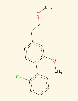 COCCc1[c]c(OC)c(-c2ccccc2Cl)cc1